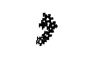 NCC1(O)CCN(c2nn3c(-c4ccc(F)cc4OC(F)(F)F)cnc3s2)CC1